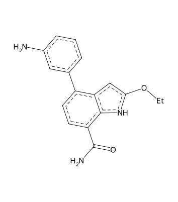 CCOc1cc2c(-c3cccc(N)c3)ccc(C(N)=O)c2[nH]1